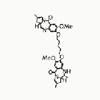 COc1cc2c(cc1OCCCCCOc1cc3c(cc1OC)C(=O)N1C=C(C)C[C@H]1[C@H](C)N3)N=C[C@@H]1CC(C)=CN1C2=O